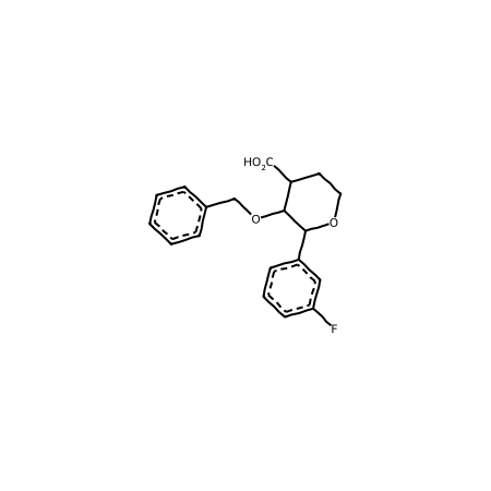 O=C(O)C1CCOC(c2cccc(F)c2)C1OCc1ccccc1